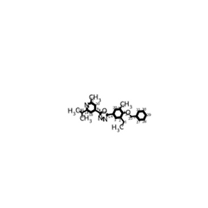 CCc1cc(-c2nnc(-c3cc(C)nc(C(C)C)c3)o2)cc(C)c1OCc1ccccc1